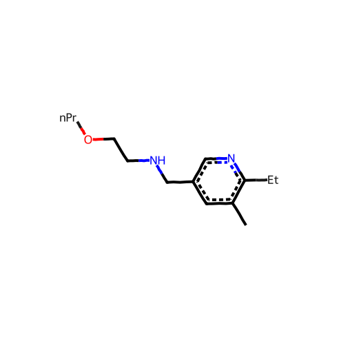 CCCOCCNCc1cnc(CC)c(C)c1